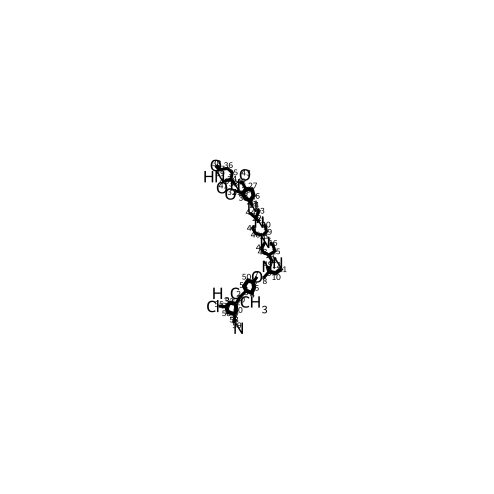 CC(C)(c1ccc(OCc2ccnc(C3CCN(C4CCN(C5CN(c6ccc7c(c6)C(=O)N(C6CCC(=O)NC6=O)C7=O)C5)CC4)CC3)n2)cc1)c1cc(Cl)cc(C#N)c1